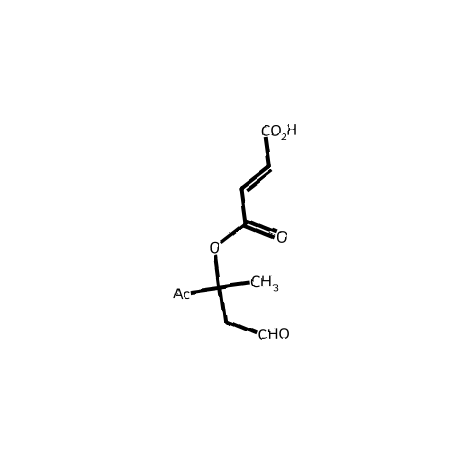 CC(=O)C(C)(CC=O)OC(=O)C=CC(=O)O